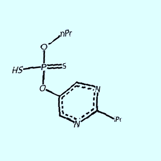 CCCOP(=S)(S)Oc1cnc(C(C)C)nc1